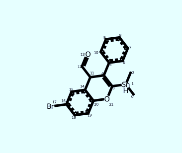 [CH3][SnH]([CH3])[C]1=C(c2ccccc2)C(C=O)c2cc(Br)ccc2O1